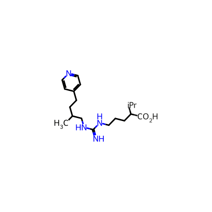 CC(CCc1ccncc1)CNC(=N)NCCCC(C(=O)O)C(C)C